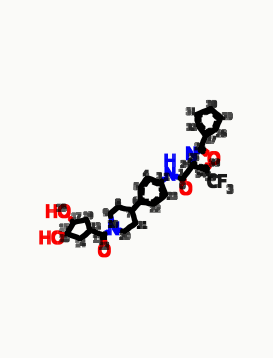 O=C(Nc1ccc(C2CCN(C(=O)C3CC(O)C(O)C3)CC2)cc1)c1nc(-c2ccccc2)oc1C(F)(F)F